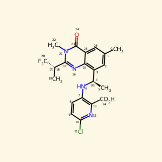 Cc1cc([C@@H](C)Nc2ccc(Cl)nc2C(=O)O)c2nc([C@H](C)C(F)(F)F)n(C)c(=O)c2c1